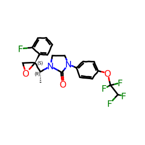 C[C@@H](N1CCN(c2ccc(OC(F)(F)C(F)F)cc2)C1=O)[C@@]1(c2ccccc2F)CO1